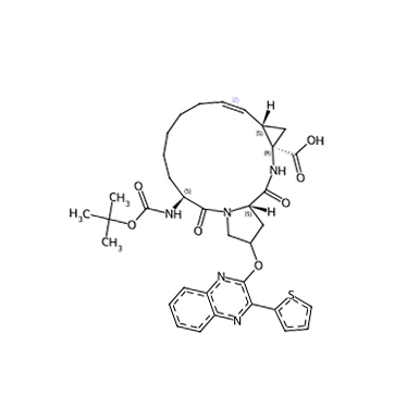 CC(C)(C)OC(=O)N[C@H]1CCCCC/C=C\[C@@H]2C[C@@]2(C(=O)O)NC(=O)[C@@H]2CC(Oc3nc4ccccc4nc3-c3cccs3)CN2C1=O